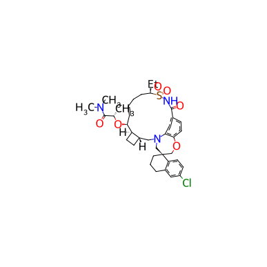 CC[C@@H]1CC/C=C/[C@H](O[C@@H](C)C(=O)N(C)C)[C@@H]2CC[C@H]2CN2C[C@@]3(CCCc4cc(Cl)ccc43)COc3ccc(cc32)C(=O)NS1(=O)=O